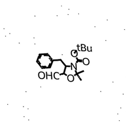 CC(C)(C)OC(=O)N1C(Cc2ccccc2)C(C=O)OC1(C)C